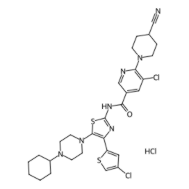 Cl.N#CC1CCN(c2ncc(C(=O)Nc3nc(-c4cc(Cl)cs4)c(N4CCN(C5CCCCC5)CC4)s3)cc2Cl)CC1